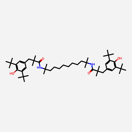 CC(C)(CCCCCCCCC(C)(C)NC(=O)C(C)(C)Cc1cc(C(C)(C)C)c(O)c(C(C)(C)C)c1)NC(=O)C(C)(C)Cc1cc(C(C)(C)C)c(O)c(C(C)(C)C)c1